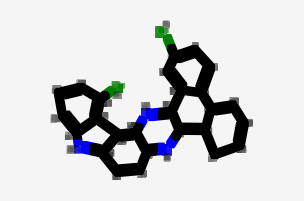 Brc1ccc2c3c(c4nc5ccc6c(c5nc4c2c1)-c1c(Br)cccc1N=6)CC=CC=3